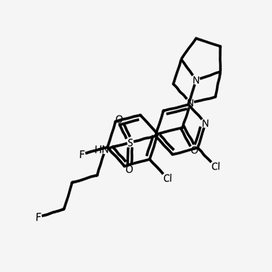 O=C(c1ccc(F)cc1Cl)N1CC2CCC(C1)N2c1cc(S(=O)(=O)NCCCF)cc(Cl)n1